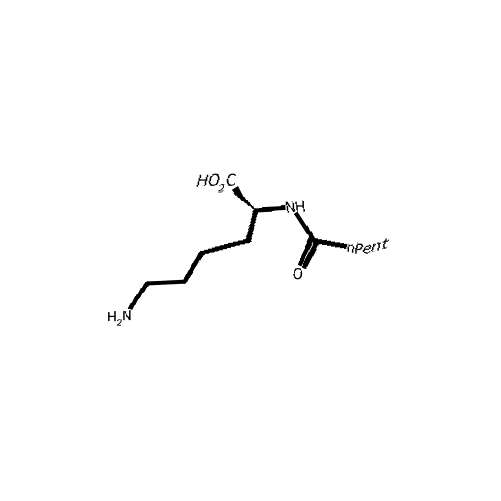 CCCCCC(=O)N[C@@H](CCCCN)C(=O)O